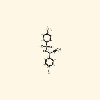 C#CC(NS(=O)(=O)c1ccc(C)cc1)c1ccc(F)cc1